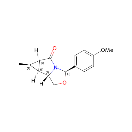 COc1ccc([C@H]2OC[C@@H]3[C@H]4[C@@H](C)[C@H]4C(=O)N23)cc1